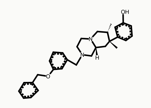 C[C@H]1CN2CCN(Cc3cccc(OCc4ccccc4)c3)C[C@H]2C[C@@]1(C)c1cccc(O)c1